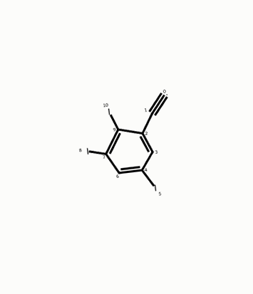 [C]#Cc1cc(I)cc(I)c1I